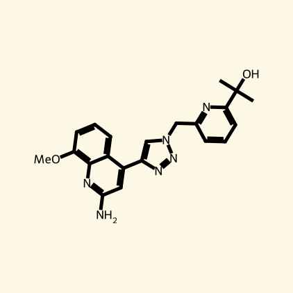 COc1cccc2c(-c3cn(Cc4cccc(C(C)(C)O)n4)nn3)cc(N)nc12